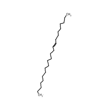 [CH2]CCCCCCCCCCCCC=CCCCCCCCC